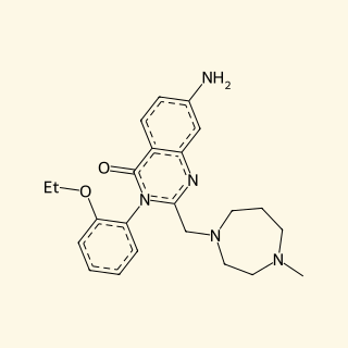 CCOc1ccccc1-n1c(CN2CCCN(C)CC2)nc2cc(N)ccc2c1=O